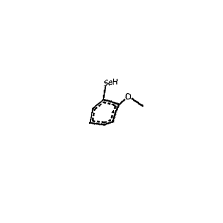 COc1ccccc1[SeH]